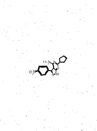 Nc1nc(C2CCCC2)nc2[nH]nc(-c3ccc([N+](=O)[O-])cc3)c12